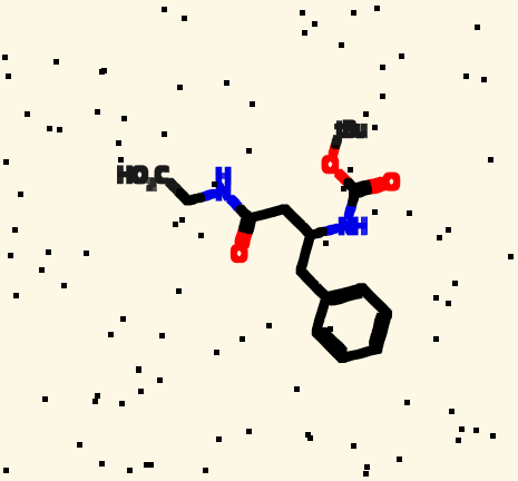 CC(C)(C)OC(=O)NC(CC(=O)NCC(=O)O)Cc1ccccc1